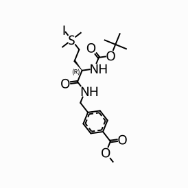 COC(=O)c1ccc(CNC(=O)[C@@H](CCS(C)(C)I)NC(=O)OC(C)(C)C)cc1